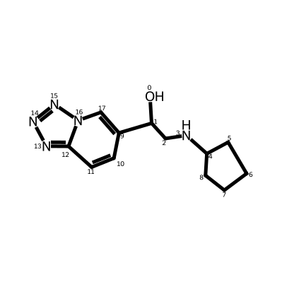 OC(CNC1CCCC1)c1ccc2nnnn2c1